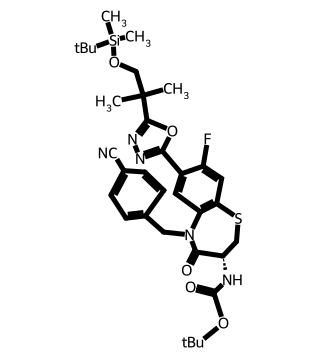 CC(C)(C)OC(=O)N[C@H]1CSc2cc(F)c(-c3nnc(C(C)(C)CO[Si](C)(C)C(C)(C)C)o3)cc2N(Cc2ccc(C#N)cc2)C1=O